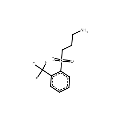 NCCCS(=O)(=O)c1ccccc1C(F)(F)F